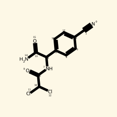 N#Cc1ccc(C(NC(=O)C(Cl)Cl)C(N)=O)cc1